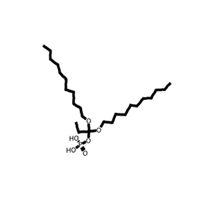 CCCCCCCCCCCOC(CC)(OCCCCCCCCCCC)OP(=O)(O)O